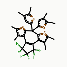 Cc1cc(C2(c3cc(C)c(C)s3)c3sc(C)c(C)c3C3=C(c4c2sc(C)c4C)C(F)(F)C(F)(F)C3(F)F)sc1C